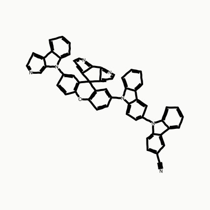 N#Cc1ccc2c(c1)c1ccccc1n2-c1ccc2c(c1)c1ccccc1n2-c1ccc2c(c1)C1(c3cc(-n4c5ccccc5c5ccncc54)ccc3O2)c2cccnc2-c2ncccc21